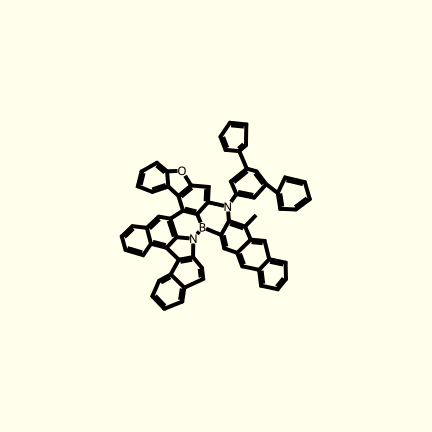 Cc1c2c(cc3cc4ccccc4cc13)B1c3c(cc4oc5ccccc5c4c3-c3cc4ccccc4c4c5c6ccccc6ccc5n1c34)N2c1cc(-c2ccccc2)cc(-c2ccccc2)c1